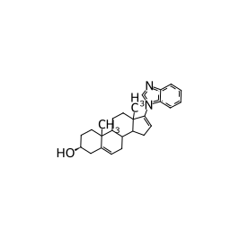 CC12CC[C@H](O)CC1=CCC1C2CCC2(C)C(n3cnc4ccccc43)=CCC12